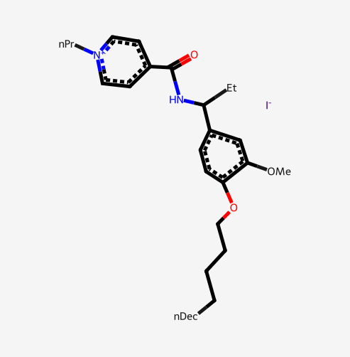 CCCCCCCCCCCCCCOc1ccc(C(CC)NC(=O)c2cc[n+](CCC)cc2)cc1OC.[I-]